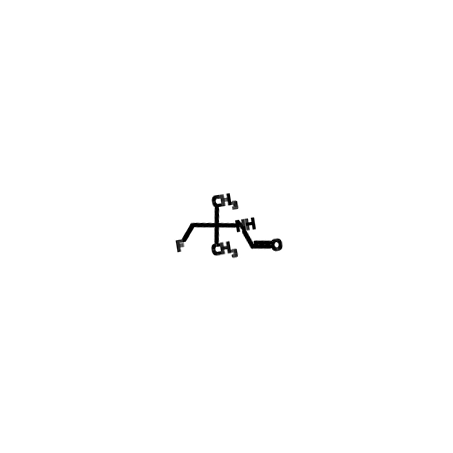 CC(C)(CF)NC=O